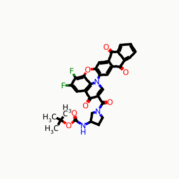 CC(C)(C)OC(=O)NC1CCN(C(=O)c2cn3c4cc5c(=O)c6ccccc6c(=O)c5cc4oc4c(F)c(F)cc(c2=O)c43)C1